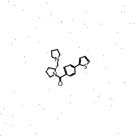 O=C(c1ccc(-c2cccs2)cc1)N1CCC[C@H]1CN1CCCC1